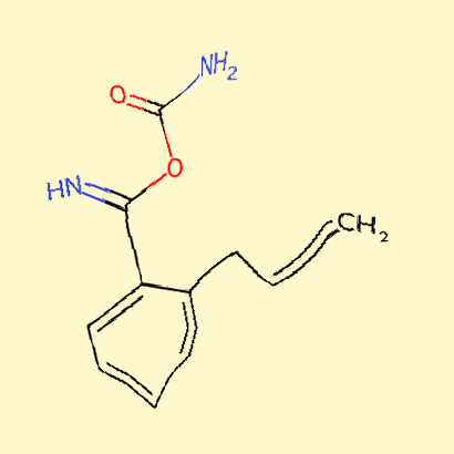 C=CCc1ccccc1C(=N)OC(N)=O